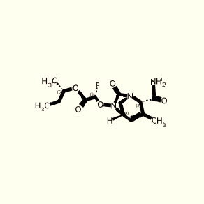 CC[C@H](C)OC(=O)[C@H](F)ON1C(=O)N2C[C@@H]1C=C(C)[C@H]2C(N)=O